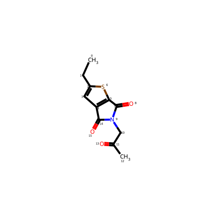 CCc1cc2c(s1)C(=O)N(CC(C)=O)C2=O